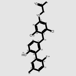 CC(=O)COc1cc(Cl)c(Cc2ccc(O)c(-c3cc(C)ccc3F)c2)c(Cl)c1